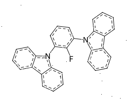 Fc1c(-n2c3ccccc3c3ccccc32)cccc1-n1c2ccccc2c2ccccc21